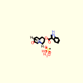 CS(=O)(=O)O.O.O=C(OC1CC2C[C@@H]3C[C@H](C1)N2CC3=O)c1c[nH]c2ccccc12